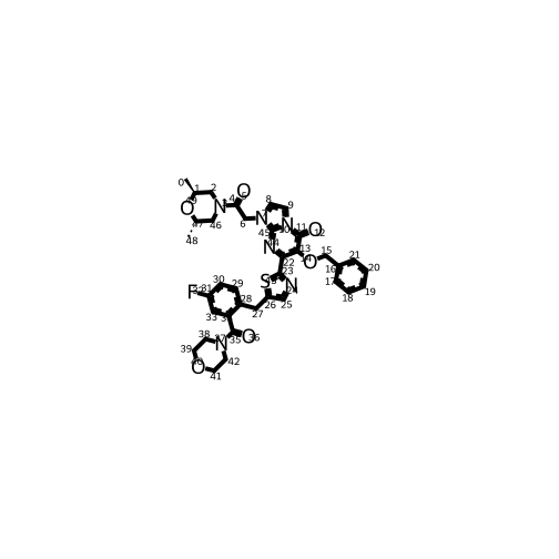 C[C@H]1CN(C(=O)Cn2ccn3c(=O)c(OCc4ccccc4)c(-c4ncc(Cc5ccc(F)cc5C(=O)N5CCOCC5)s4)nc23)C[C@H](C)O1